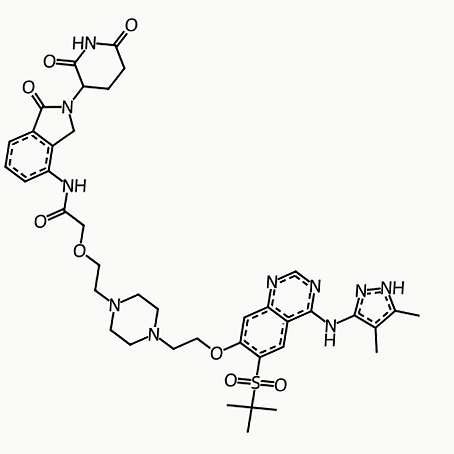 Cc1[nH]nc(Nc2ncnc3cc(OCCN4CCN(CCOCC(=O)Nc5cccc6c5CN(C5CCC(=O)NC5=O)C6=O)CC4)c(S(=O)(=O)C(C)(C)C)cc23)c1C